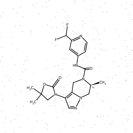 C[C@H]1Cn2ncc(N3CC(C)(C)OC3=O)c2CN1C(=O)Nc1ccnc(C(F)F)c1